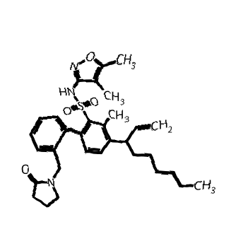 C=CC(CCCCCC)c1ccc(-c2ccccc2CN2CCCC2=O)c(S(=O)(=O)Nc2noc(C)c2C)c1C